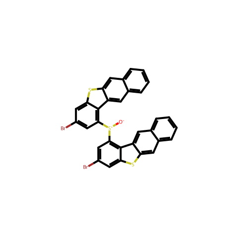 [O-][S+](c1cc(Br)cc2sc3cc4ccccc4cc3c12)c1cc(Br)cc2sc3cc4ccccc4cc3c12